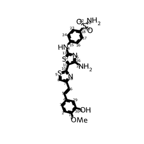 COc1ccc(C=Cc2csc(-c3sc(Nc4ccc(S(N)(=O)=O)cc4)nc3N)n2)cc1O